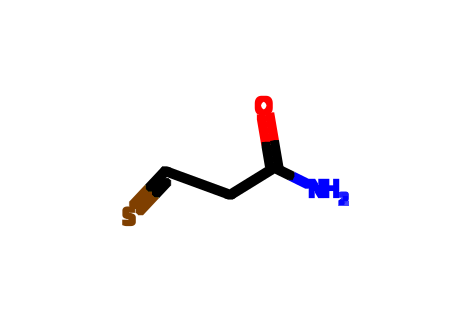 NC(=O)CC=S